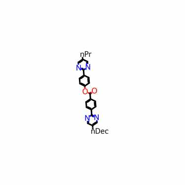 CCCCCCCCCCc1cnc(-c2ccc(C(=O)Oc3ccc(-c4ncc(CCC)cn4)cc3)cc2)nc1